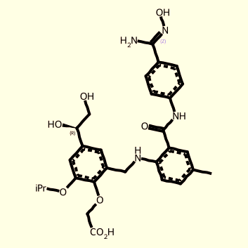 Cc1ccc(NCc2cc([C@@H](O)CO)cc(OC(C)C)c2OCC(=O)O)c(C(=O)Nc2ccc(/C(N)=N/O)cc2)c1